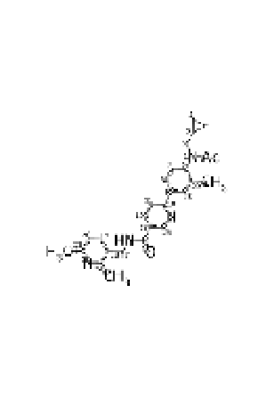 CC(=O)N(CC1CC1)c1ccc(-c2ccc(C(=O)NCc3ccc(C)nc3C)cn2)cc1C